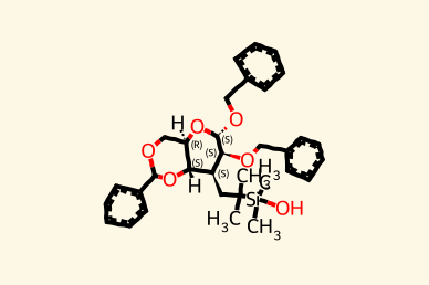 CC(C)(C[C@@H]1[C@H](OCc2ccccc2)[C@@H](OCc2ccccc2)O[C@@H]2COC(c3ccccc3)O[C@@H]12)[Si](C)(C)O